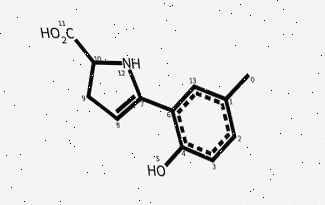 Cc1ccc(O)c(C2=CCC(C(=O)O)N2)c1